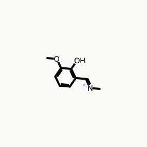 C/N=C/c1cccc(OC)c1O